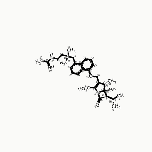 C[C@@H](O)[C@H]1C(=O)N2C(C(=O)O)=C(COc3cccc4c(C[N+](C)(C)CCNC(=N)N)cccc34)[C@H](C)[C@H]12